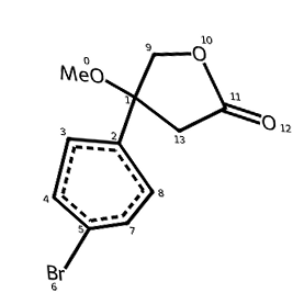 COC1(c2ccc(Br)cc2)COC(=O)C1